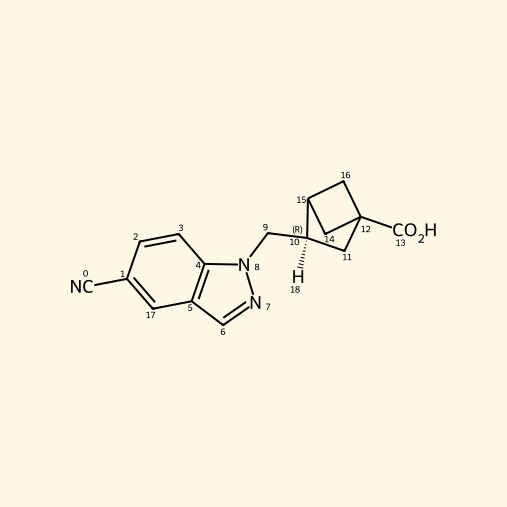 N#Cc1ccc2c(cnn2C[C@@H]2CC3(C(=O)O)CC2C3)c1